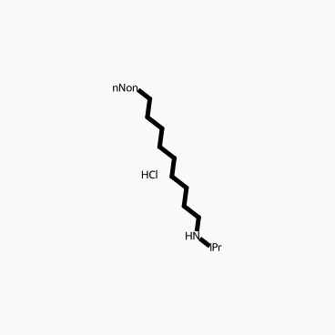 CCCCCCCCCCCCCCCCCCNC(C)C.Cl